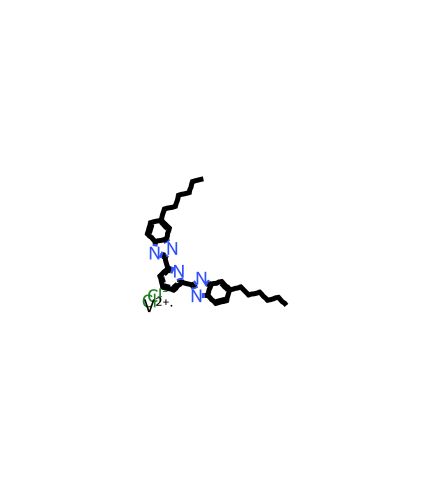 CCCCCCC1=CC2=NC(c3cccc(C4=NC5C=CC(CCCCCC)=CC5=N4)n3)=NC2C=C1.[Cl-].[Cl-].[V+2]